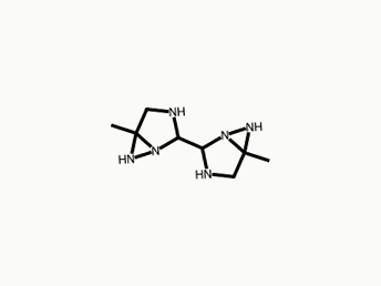 CC12CNC(C3NCC4(C)NN34)N1N2